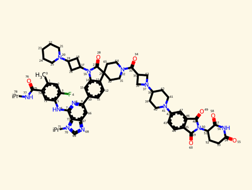 Cc1cc(F)c(Nc2nc(-c3ccc4c(c3)N(C3CC(N5CCCCC5)C3)C(=O)C43CCN(C(=O)C4CN(C5CCN(c6ccc7c(c6)C(=O)N(C6CCC(=O)NC6=O)C7=O)CC5)C4)CC3)cc3ncn(C(C)C)c23)cc1C(=O)NC(C)C